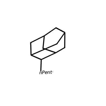 CCCC[CH]C1C2CC3CC(C2)CC1C3